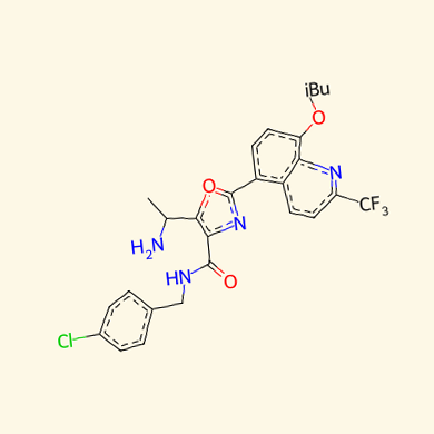 CCC(C)Oc1ccc(-c2nc(C(=O)NCc3ccc(Cl)cc3)c(C(C)N)o2)c2ccc(C(F)(F)F)nc12